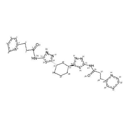 O=C(CCc1ccccn1)Nc1nnc([C@H]2CCC[C@H](c3nnc(NC(=O)CCc4ccccn4)s3)C2)s1